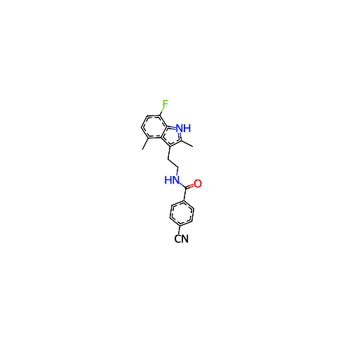 Cc1[nH]c2c(F)ccc(C)c2c1CCNC(=O)c1ccc(C#N)cc1